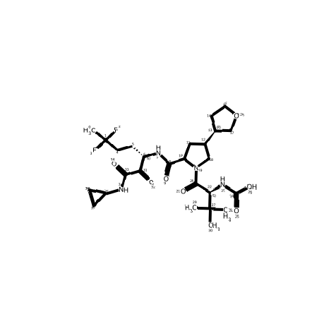 CC(F)(F)CC[C@H](NC(=O)C1CC([C@H]2CCOC2)CN1C(=O)[C@@H](NC(=O)O)C(C)(C)C)C(=O)C(=O)NC1CC1